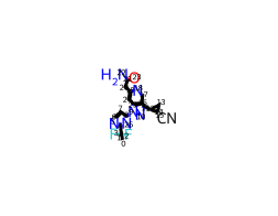 CC(F)(F)c1nccc(-n2nc(C3CC3C#N)c3cnc(CC(N)=O)cc32)n1